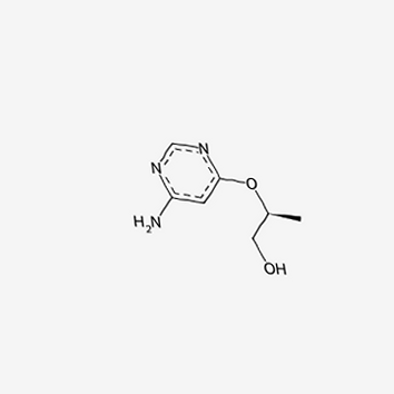 C[C@@H](CO)Oc1cc(N)ncn1